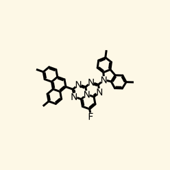 Cc1ccc2cc(C3=NC4=CC(F)=CC5=NC(n6c7ccc(C)cc7c7cc(C)ccc76)=NC(=N3)N45)c3ccc(C)cc3c2c1